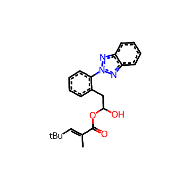 CC(=CC(C)(C)C)C(=O)OC(O)Cc1ccccc1-n1nc2ccccc2n1